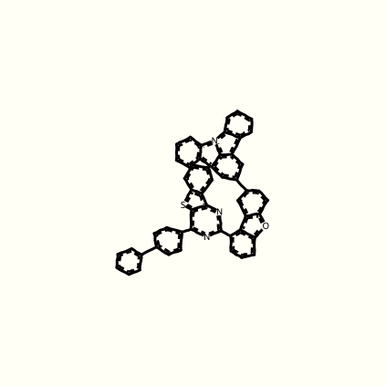 c1ccc(-c2ccc(-c3nc(-c4cccc5oc6ccc(-c7cc8c9ccccc9n9c%10ccccc%10c(c7)c89)cc6c45)nc4c3sc3ccccc34)cc2)cc1